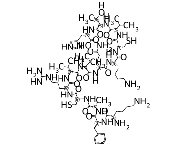 CC(C)[C@H](NC(=O)[C@H](CCCNC(=N)N)NC(=O)[C@H](CS)NC(=O)[C@H](C)NC(=O)[C@H](Cc1ccccc1)NC(=O)[C@@H](N)CCCCN)C(=O)N[C@H](C(=O)N[C@@H](CCC(N)=O)C(=O)N[C@@H](CCCCN)C(=O)N[C@@H](CS)C(=O)N[C@H](C(=O)N[C@H](C(=O)N[C@@H](Cc1c[nH]cn1)C(=O)O)[C@@H](C)O)C(C)C)C(C)C